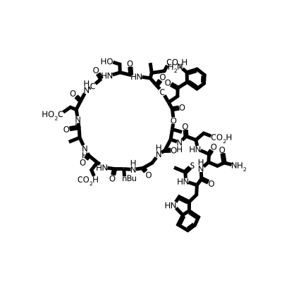 CCCCC1NC(=O)CNC(=O)C(NC(=O)C(CC(=O)O)NC(=O)C(CC(N)=O)NC(=O)C(Cc2c[nH]c3ccccc23)NC(C)=S)C(C)OC(=O)C(CC(=O)c2ccccc2N)CC(=O)C(C(C)CC(=O)O)NC(=O)C(CO)NC(=O)CNC(=O)C(CC(=O)O)NC(=O)C(C)NC(=O)C(CC(=O)O)NC1=O